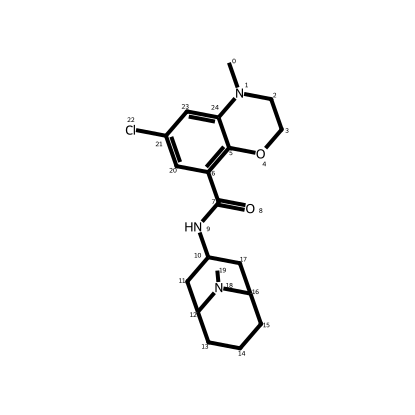 CN1CCOc2c(C(=O)NC3CC4CCCC(C3)N4C)cc(Cl)cc21